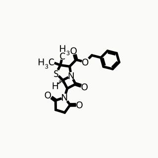 CC1(C)S[C@@H]2C(N3C(=O)CCC3=O)C(=O)N2C1C(=O)OCc1ccccc1